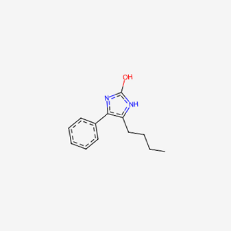 CCCCc1[nH]c(O)nc1-c1ccccc1